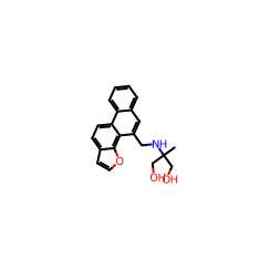 CC(CO)(CO)NCc1cc2ccccc2c2ccc3ccoc3c12